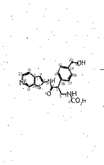 O=C(O)NCC(C(=O)Nc1cc2ccncc2s1)c1ccc(CO)cc1